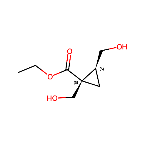 CCOC(=O)[C@@]1(CO)C[C@@H]1CO